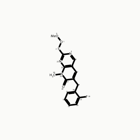 COOSc1ncc2cc(Cc3ccccc3F)c(=O)n(C)c2n1